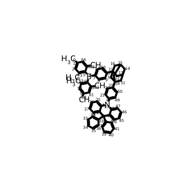 Cc1cc(C)c(B(c2ccc(C34CC5CC(C3)CC(c3ccc(N6c7ccccc7C(c7ccccc7)(c7ccccc7)c7ccccc76)cc3)(C5)C4)cc2)c2c(C)cc(C)cc2C)c(C)c1